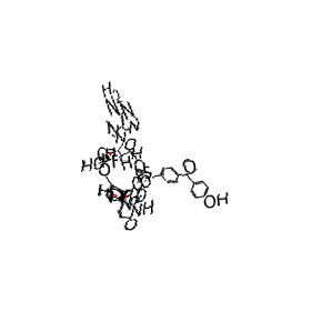 Nc1ncnc2c1ncn2[C@@H]1O[C@@H]2COP(=O)(SCc3ccc(C(=O)c4ccc(O)cc4)cc3)O[C@@H]3[C@H](F)[C@@H](COP(=O)(O)O[C@@H]1[C@@H]2F)O[C@H]3n1ccc(=O)[nH]c1=O